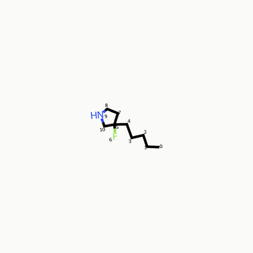 CCCCCC1(F)CCNC1